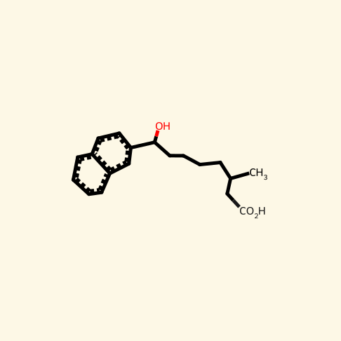 CC(CCCCC(O)c1ccc2ccccc2c1)CC(=O)O